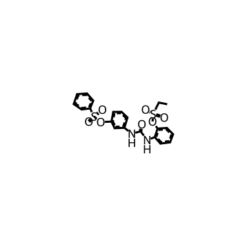 CCS(=O)(=O)Oc1ccccc1NC(=O)Nc1cccc(OS(=O)(=O)c2ccccc2)c1